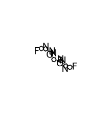 Fc1ccc2ncc(-c3nnc(-c4cccc(-c5nnc(-c6cnc7ccc(F)cc7c6)o5)c4)o3)cc2c1